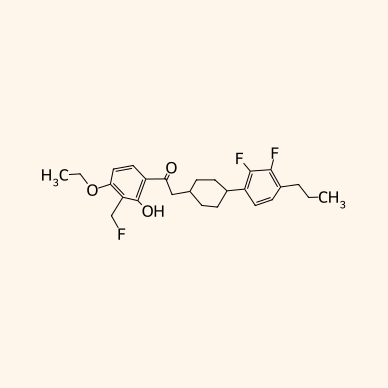 CCCc1ccc(C2CCC(CC(=O)c3ccc(OCC)c(CF)c3O)CC2)c(F)c1F